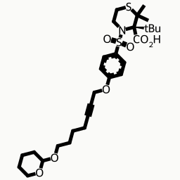 CC(C)(C)[C@@]1(C(=O)O)N(S(=O)(=O)c2ccc(OCC#CCCCCOC3CCCCO3)cc2)CCSC1(C)C